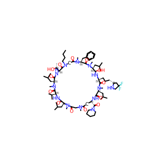 CCCCN1CC(=O)N(C)[C@@H](Cc2ccccc2)C(=O)N(C)[C@@H](CC(C)C)C(O)N[C@@H](CCC[C@@H]2CC(F)(F)CN2)C(=O)N(C)[C@@H](CC(C)C)C(=O)N[C@H](C(=O)N2CCCCC2)CC(=O)N(C)CC(=O)N(C)[C@@H](CC(C)C)C(=O)N[C@@H](C(C)C)C(=O)N(C)[C@@H](CC(C)C)C(=O)N[C@@H]([C@@H](C)O)C1=O